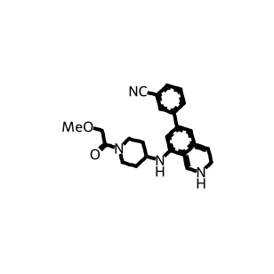 COCC(=O)N1CCC(Nc2cc(-c3cccc(C#N)c3)cc3c2=CNCC=3)CC1